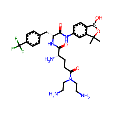 CC1(C)OB(O)c2ccc(NC(=O)[C@@H](Cc3ccc(C(F)(F)F)cc3)NC(=O)[C@@H](N)CCC(=O)N(CCN)CCN)cc21